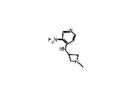 CN1CC(Nc2ccncc2N)C1